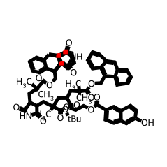 CC(C)(C)OC(=O)C(CC(C)(C)C(=O)OCc1c2ccccc2cc2ccccc12)CC(C)(CC1C(=O)NC(=O)C1CC(C)(C)C(=O)OCC12c3ccccc3C(c3ccccc31)C1C(=O)NC(=O)C12)C(=O)OCCOC(=O)c1ccc2cc(O)ccc2c1